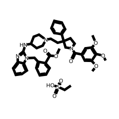 CCS(=O)(=O)O.COC(=O)c1ccccc1Cn1c(NC2CCN(CCC3(c4ccccc4)CCN(C(=O)c4cc(OC)c(OC)c(OC)c4)C3)CC2)nc2ccccc21